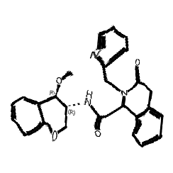 CO[C@@H]1c2ccccc2OC[C@H]1NC(=O)C1c2ccccc2CC(=O)N1Cc1ccccn1